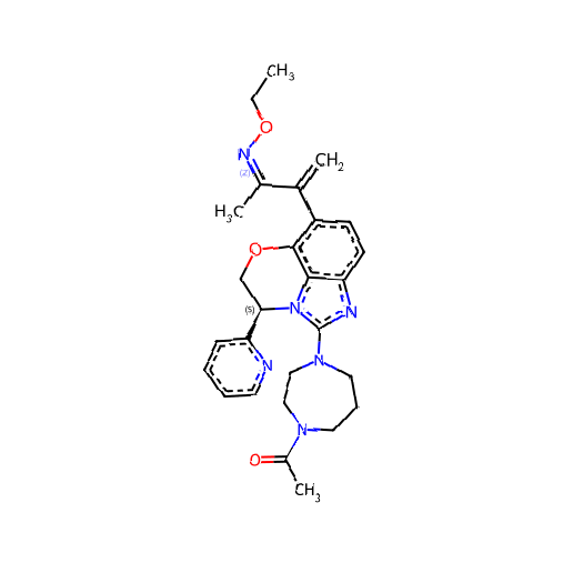 C=C(/C(C)=N\OCC)c1ccc2nc(N3CCCN(C(C)=O)CC3)n3c2c1OC[C@@H]3c1ccccn1